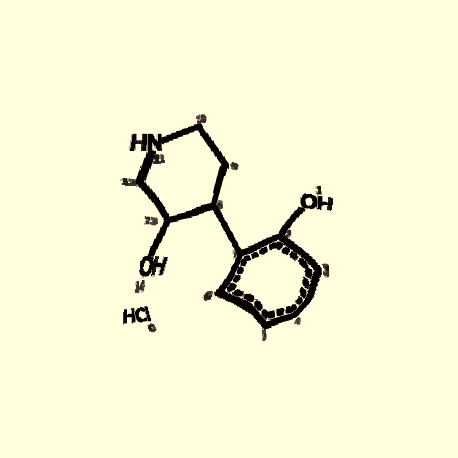 Cl.Oc1ccccc1C1CCNCC1O